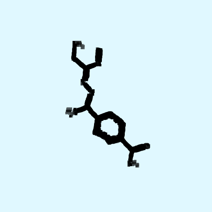 C=N/C(CN)=N\N=C(/N)c1ccc(C(N)=O)cc1